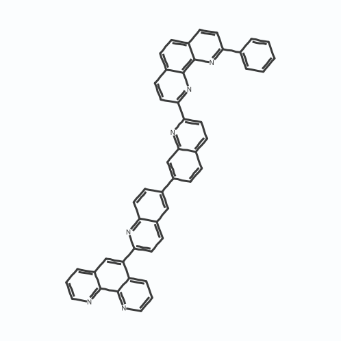 c1ccc(-c2ccc3ccc4ccc(-c5ccc6ccc(-c7ccc8nc(-c9cc%10cccnc%10c%10ncccc9%10)ccc8c7)cc6n5)nc4c3n2)cc1